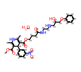 COC(=O)C1=C(C)NC(C)=C(C(=O)OCCCC(=O)NCCNCC(O)COc2ccccc2)C1c1cccc([N+](=O)[O-])c1.O